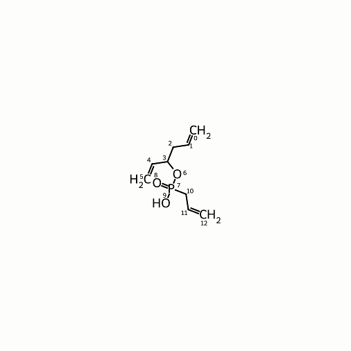 C=CCC(C=C)OP(=O)(O)CC=C